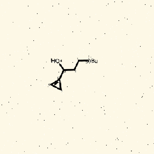 CCCCCCC(O)C1=CC1